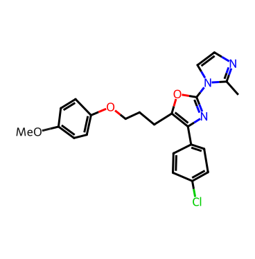 COc1ccc(OCCCc2oc(-n3ccnc3C)nc2-c2ccc(Cl)cc2)cc1